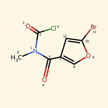 CN(C(=O)Cl)C(=O)c1coc(Br)c1